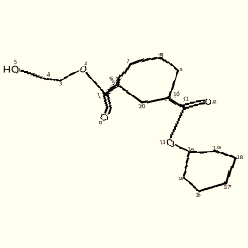 O=C(OCCO)C1CCCC(C(=O)OC2CCCCC2)C1